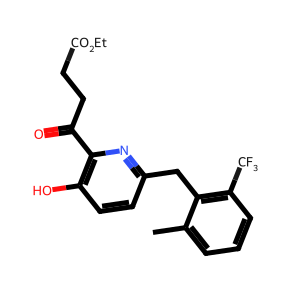 CCOC(=O)CCC(=O)c1nc(Cc2c(C)cccc2C(F)(F)F)ccc1O